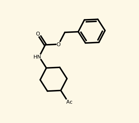 CC(=O)C1CCC(NC(=O)OCc2ccccc2)CC1